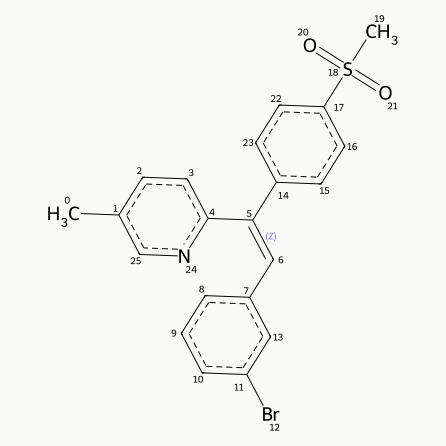 Cc1ccc(/C(=C\c2cccc(Br)c2)c2ccc(S(C)(=O)=O)cc2)nc1